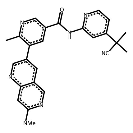 CNc1cc2ncc(-c3cc(C(=O)Nc4cc(C(C)(C)C#N)ccn4)cnc3C)cc2cn1